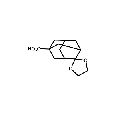 O=C(O)C12CC3CC(C1)C1(OCCO1)C(C3)C2